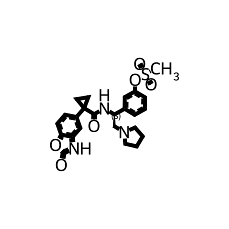 CS(=O)(=O)Oc1cccc([C@@H](CN2CCCC2)NC(=O)C2(c3ccc4oc(=O)[nH]c4c3)CC2)c1